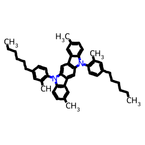 CCCCCCc1ccc(-n2c3ccc(C)cc3c3cc4c(cc32)c2cc(C)ccc2n4-c2ccc(CCCCCC)cc2C)c(C)c1